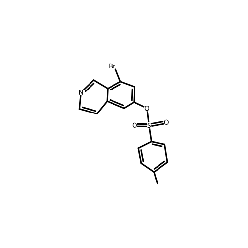 Cc1ccc(S(=O)(=O)Oc2cc(Br)c3cnccc3c2)cc1